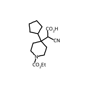 CCOC(=O)N1CCC(C2CCCC2)(C(C#N)C(=O)O)CC1